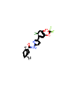 O=C(Nc1ccc(-c2cc3c(cc2Cl)OC(F)(F)O3)cn1)[C@@H]1C[C@H]2C=C[C@@H]1C2